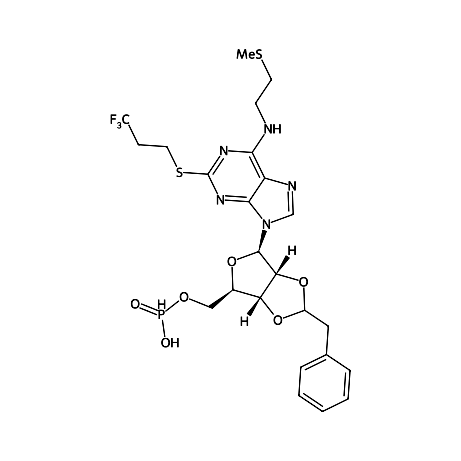 CSCCNc1nc(SCCC(F)(F)F)nc2c1ncn2[C@@H]1O[C@H](CO[PH](=O)O)[C@H]2OC(Cc3ccccc3)O[C@H]21